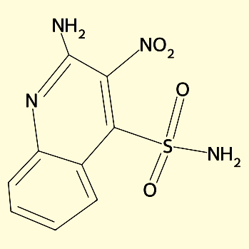 Nc1nc2ccccc2c(S(N)(=O)=O)c1[N+](=O)[O-]